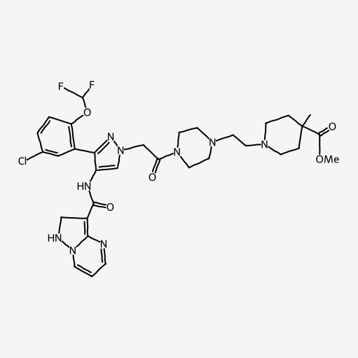 COC(=O)C1(C)CCN(CCN2CCN(C(=O)Cn3cc(NC(=O)C4=C5N=CC=CN5NC4)c(-c4cc(Cl)ccc4OC(F)F)n3)CC2)CC1